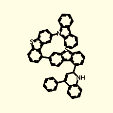 C1=C(c2ccccc2)c2ccccc2NC1c1cccc2sc3cc(-c4cccc5sc6ccc(-n7c8ccccc8c8ccccc87)cc6c45)ccc3c12